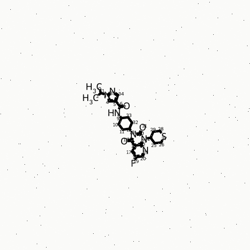 CC(C)n1cc(C(=O)NC2CCC(n3c(=O)c4cc(F)cnc4n(C4CCSCC4)c3=O)CC2)cn1